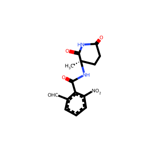 C[C@@]1(NC(=O)c2c(C=O)cccc2[N+](=O)[O-])CCC(=O)NC1=O